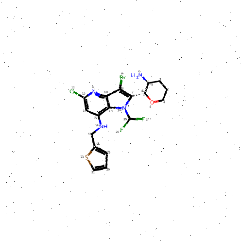 N[C@H]1CCCO[C@@H]1c1c(Br)c2nc(Cl)cc(NCc3cccs3)c2n1C(F)F